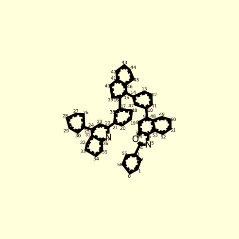 c1ccc(-c2nc3c(cc(-c4cccc(-c5c(-c6cccc(-c7cc(-c8ccccc8)c8ccccc8n7)c6)ccc6ccccc56)c4)c4ccccc43)o2)cc1